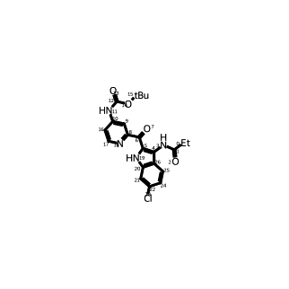 CCC(=O)Nc1c(C(=O)c2cc(NC(=O)OC(C)(C)C)ccn2)[nH]c2cc(Cl)ccc12